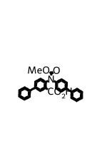 COC(=O)N(c1ccc(-c2ccccc2)cc1)c1ccc(-c2ccccc2)cc1C(=O)O